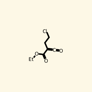 CCOC(=O)C(=C=O)CCCl